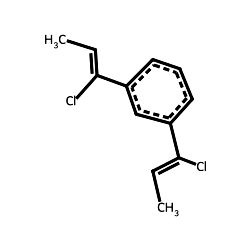 CC=C(Cl)c1cccc(C(Cl)=CC)c1